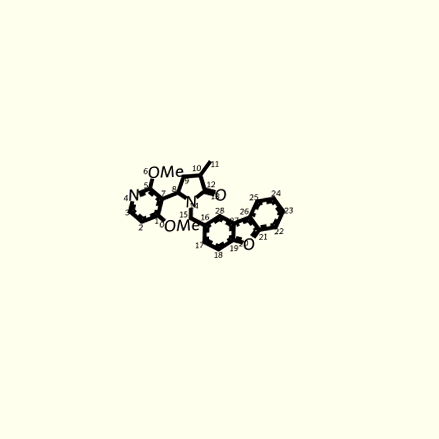 COc1ccnc(OC)c1C1CC(C)C(=O)N1Cc1ccc2oc3ccccc3c2c1